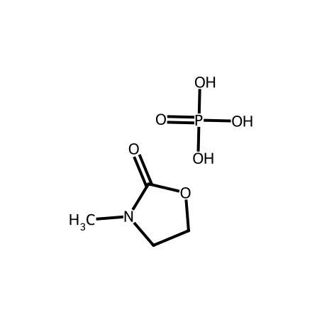 CN1CCOC1=O.O=P(O)(O)O